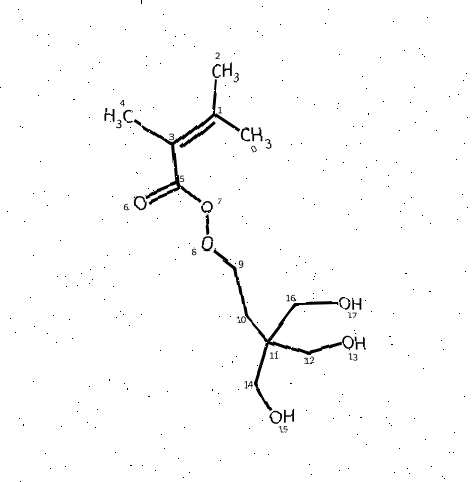 CC(C)=C(C)C(=O)OOCCC(CO)(CO)CO